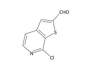 O=Cc1cc2ccnc(Cl)c2s1